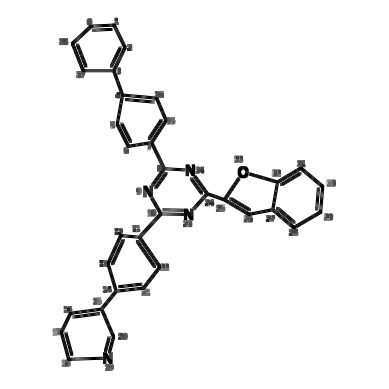 c1ccc(-c2ccc(-c3nc(-c4ccc(-c5cccnc5)cc4)nc(-c4cc5ccccc5o4)n3)cc2)cc1